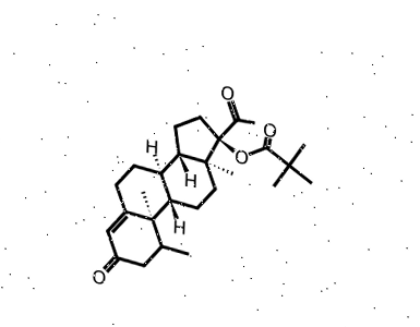 CC(=O)[C@@]1(OC(=O)C(C)(C)C)CC[C@H]2[C@@H]3CCC4=CC(=O)CC(C)[C@]4(C)[C@H]3CC[C@@]21C